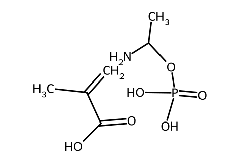 C=C(C)C(=O)O.CC(N)OP(=O)(O)O